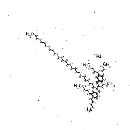 CCCCCCCCCCCCCCCCCCCCCCCCCCCCCC(=Nc1ccc(CCCCC)c(CCCCC)c1)C(CCCC)=Nc1ccc(CCCCC)c(CCCCC)c1.[Pd]